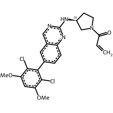 C=CC(=O)N1CC[C@H](Nc2ncc3cc(-c4c(Cl)c(OC)cc(OC)c4Cl)ccc3n2)C1